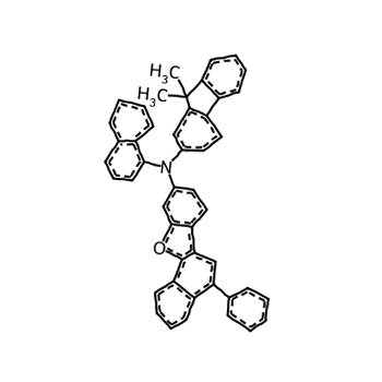 CC1(C)c2ccccc2-c2ccc(N(c3ccc4c(c3)oc3c5ccccc5c(-c5ccccc5)cc43)c3cccc4ccccc34)cc21